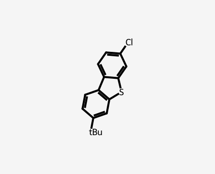 CC(C)(C)c1ccc2c(c1)sc1cc(Cl)ccc12